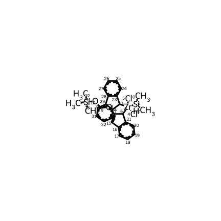 C[SiH](C)[Zr]([Cl])([Cl])([CH]1C(OCO[Si](C)(C)C)=Cc2ccccc21)[CH]1c2ccccc2-c2ccccc21